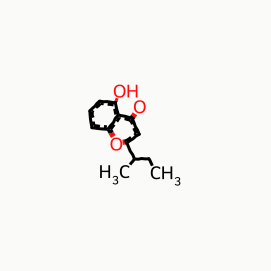 CCC(C)c1cc(=O)c2c(O)cccc2o1